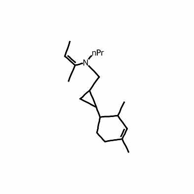 C/C=C(/C)N(CCC)CC1CC1C1CCC(C)=CC1C